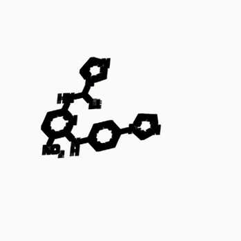 CCC(Nc1ccc([N+](=O)[O-])c(Nc2ccc(-n3ccnc3)cc2)n1)n1ccnc1